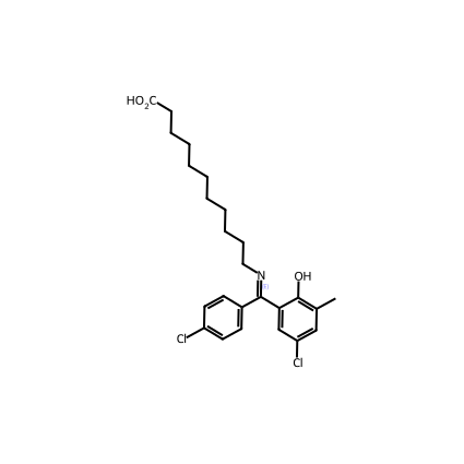 Cc1cc(Cl)cc(/C(=N/CCCCCCCCCCC(=O)O)c2ccc(Cl)cc2)c1O